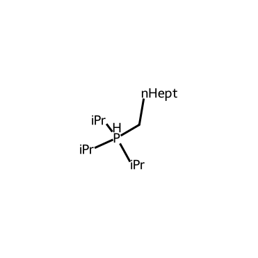 CCCCCCCC[PH](C(C)C)(C(C)C)C(C)C